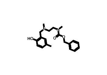 Cc1ccc(O)c(CN(C)CCN(C)C(=O)OCc2ccccc2)c1